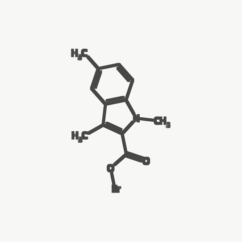 Cc1ccc2c(c1)c(C)c(C(=O)OBr)n2C